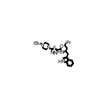 CC(C)CCC(Cc1c[nH]c2ccccc12)NC(=O)c1nnc(N2CCN(C(C)(C)C)CC2)s1